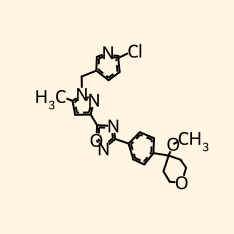 COC1(c2ccc(-c3noc(-c4cc(C)n(Cc5ccc(Cl)nc5)n4)n3)cc2)CCOCC1